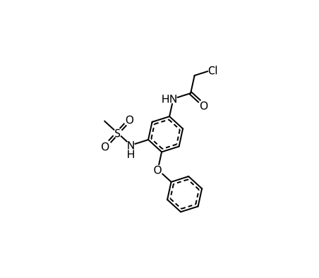 CS(=O)(=O)Nc1cc(NC(=O)CCl)ccc1Oc1ccccc1